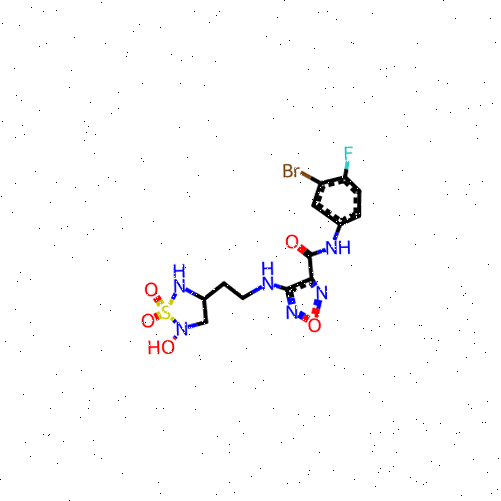 O=C(Nc1ccc(F)c(Br)c1)c1nonc1NCCC1CN(O)S(=O)(=O)N1